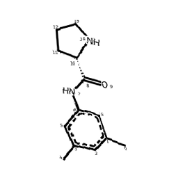 Cc1cc(C)cc(NC(=O)[C@@H]2CCCN2)c1